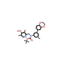 COc1c(C)cnc(CN(C(=O)OC(C)(C)C)c2cc(C)cc(-c3ccc4c(c3)OCCO4)c2)c1C